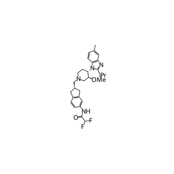 CO[C@H]1CN(C[C@@H]2Cc3ccc(NC(=O)C(F)F)cc3C2)CC[C@@H]1n1c(C(C)C)nc2cc(C)ccc21